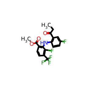 CCC(=O)c1cc(F)ccc1Nc1c(C(=O)OC)ccc(C(F)(F)F)c1F